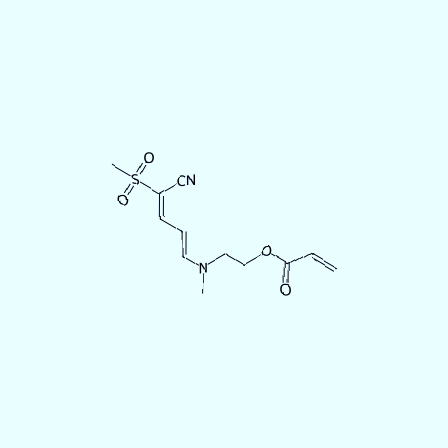 C=CC(=O)OCCN(C)/C=C/C=C(\C#N)S(C)(=O)=O